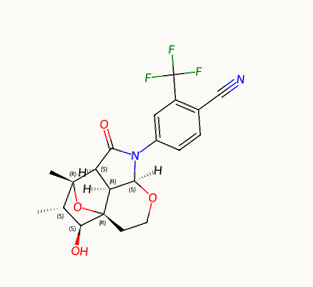 C[C@H]1[C@H](O)[C@@]23CCO[C@H]4[C@@H]2[C@H](C(=O)N4c2ccc(C#N)c(C(F)(F)F)c2)[C@]1(C)O3